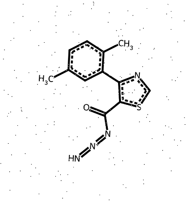 Cc1ccc(C)c(-c2ncsc2C(=O)N=[N+]=N)c1